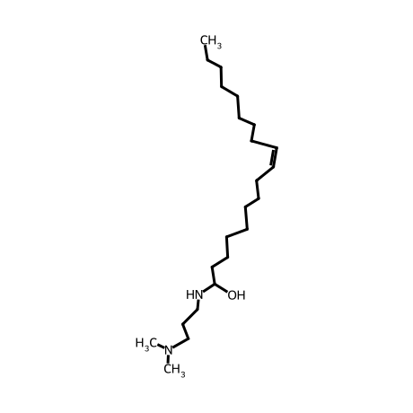 CCCCCCCC/C=C\CCCCCCCC(O)NCCCN(C)C